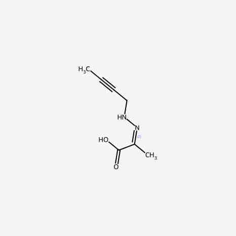 CC#CCN/N=C(/C)C(=O)O